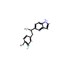 CC(C)c1ccc(CC(C)c2ccc3[nH]ccc3c2)cc1F